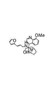 COc1cccc2c(C(CO)N3C4CCC3CC(NCC=Cc3ccco3)C4)ccnc12